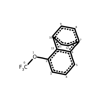 FC(F)(F)Oc1[c]ccc2c3ccc(cc3)c12